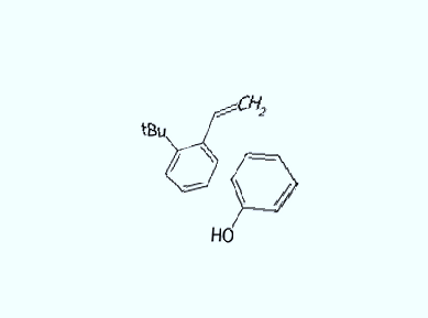 C=Cc1ccccc1C(C)(C)C.Oc1ccccc1